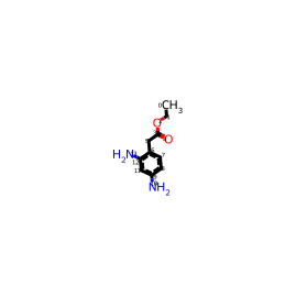 CCOC(=O)Cc1ccc(N)cc1N